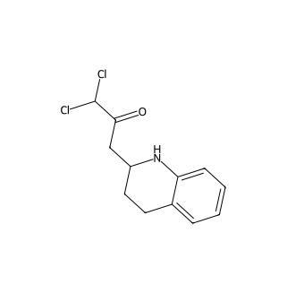 O=C(CC1CCc2ccccc2N1)C(Cl)Cl